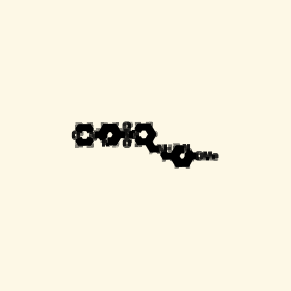 COc1ccc(CNCC2CCCN(S(=O)(=O)c3ccc(N4CCOCC4)nc3)C2)cn1